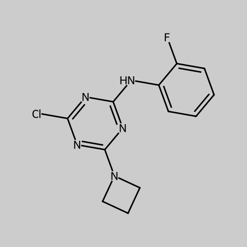 Fc1ccccc1Nc1nc(Cl)nc(N2CCC2)n1